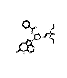 CCOP(=O)(/C=C/[C@@H]1C[C@@H](OC(=O)c2ccccc2)[C@H](n2nc3c4c(ncnc42)NC(=O)C=C3)O1)OCC